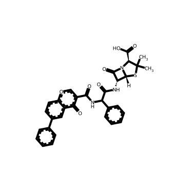 CC1(C)S[C@@H]2[C@H](NC(=O)C(NC(=O)c3coc4ccc(-c5ccccc5)cc4c3=O)c3ccccc3)C(=O)N2[C@H]1C(=O)O